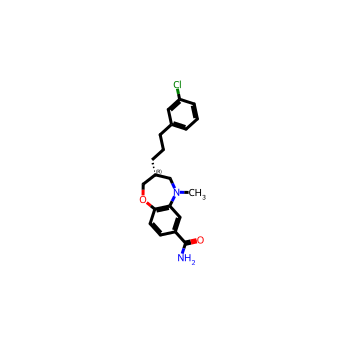 CN1C[C@@H](CCCc2cccc(Cl)c2)COc2ccc(C(N)=O)cc21